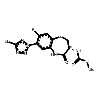 CCc1nnn(-c2cc3c(cc2F)SC[C@H](NC(=O)OC(C)(C)C)C(=O)N3)n1